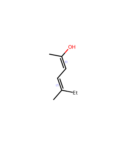 CC/C(C)=C\C=C(/C)O